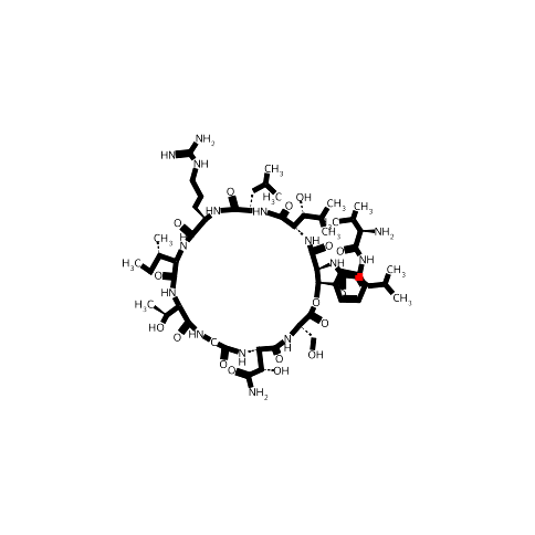 CC[C@H](C)C1NC(=O)[C@@H](CCCNC(=N)N)NC(=O)[C@H](CC(C)C)NC(=O)[C@H]([C@H](O)C(C)C)NC(=O)[C@@H](NC(=O)[C@H](CC(C)C)NC(=O)[C@H](N)C(C)C)[C@@H](c2ccccc2)OC(=O)[C@H](CO)NC(=O)[C@H]([C@H](O)C(N)=O)NC(=O)CNC(=O)C([C@H](C)O)NC1=O